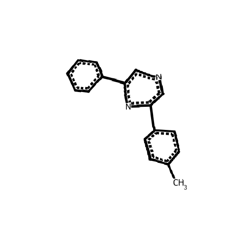 Cc1ccc(-c2cncc(-c3ccccc3)n2)cc1